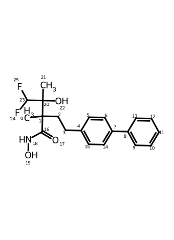 CC(CCc1ccc(-c2ccccc2)cc1)(C(=O)NO)C(C)(O)C(F)F